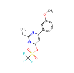 CCC1=NC(c2cccc(OC)c2)=CC(OS(=O)(=O)C(F)(F)F)N1